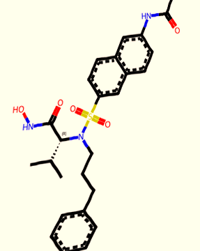 CC(=O)Nc1ccc2cc(S(=O)(=O)N(CCCc3ccccc3)[C@@H](C(=O)NO)C(C)C)ccc2c1